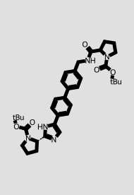 CC(C)(C)OC(=O)N1CCCC1C(=O)NCc1ccc(-c2ccc(-c3cnc([C@@H]4CCCN4C(=O)OC(C)(C)C)[nH]3)cc2)cc1